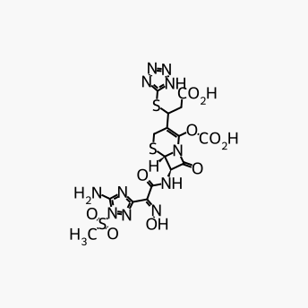 CS(=O)(=O)n1nc(C(=NO)C(=O)N[C@@H]2C(=O)N3C(OC(=O)O)=C(C(CC(=O)O)Sc4nnn[nH]4)CS[C@@H]23)nc1N